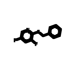 Fc1cnc(SCc2ccccc2)c(F)c1